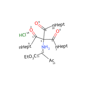 CCCCCCCC(=O)C(N)(C(=O)CCCCCCC)C(=O)CCCCCCC.CCOC(=O)CC(C)=O.Cl